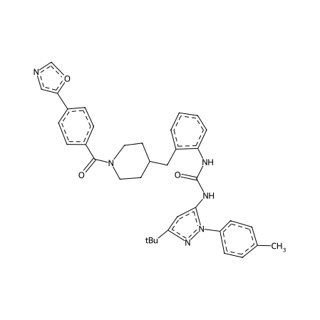 Cc1ccc(-n2nc(C(C)(C)C)cc2NC(=O)Nc2ccccc2CC2CCN(C(=O)c3ccc(-c4cnco4)cc3)CC2)cc1